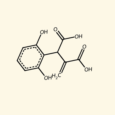 C=C(C(=O)O)C(C(=O)O)c1c(O)cccc1O